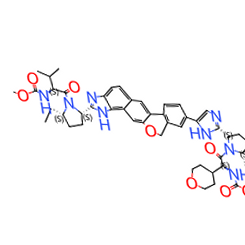 CC[C@H]1CC[C@@H](c2nc3ccc4cc5c(cc4c3[nH]2)OCc2cc(-c3cnc([C@@H]4CC[C@H](CC)N4C(=O)[C@@H](NC(=O)OC)C4CCOCC4)[nH]3)ccc2-5)N1C(=O)[C@@H](NC(=O)OC)C(C)C